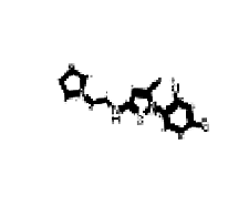 Cc1cc(NCCN2CCCC2)nn1-c1ccc(Cl)cc1Cl